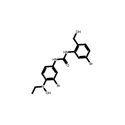 CCN(O)c1ccc(NC(=O)Nc2cc(Br)ccc2CO)cc1Br